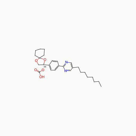 CCCCCCCCc1cnc(-c2ccc([C@@]3(OC(=O)O)COC4(CCCCC4)O3)cc2)nc1